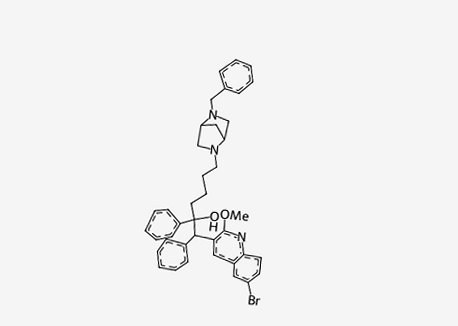 COc1nc2ccc(Br)cc2cc1C(c1ccccc1)C(O)(CCCCN1CC2CC1CN2Cc1ccccc1)c1ccccc1